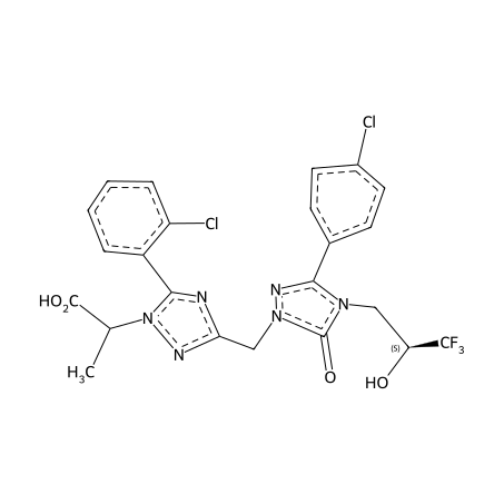 CC(C(=O)O)n1nc(Cn2nc(-c3ccc(Cl)cc3)n(C[C@H](O)C(F)(F)F)c2=O)nc1-c1ccccc1Cl